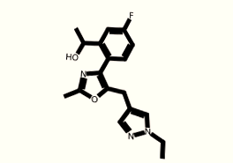 CCn1cc(Cc2oc(C)nc2-c2ccc(F)cc2C(C)O)cn1